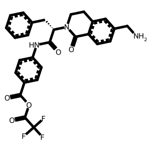 NCc1ccc2c(c1)CCN([C@@H](Cc1ccccc1)C(=O)Nc1ccc(C(=O)OC(=O)C(F)(F)F)cc1)C2=O